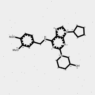 COc1ccc(CNc2nc(N3CCCC(O)C3)nc3c2ncn3C2CCCC2)cc1OC